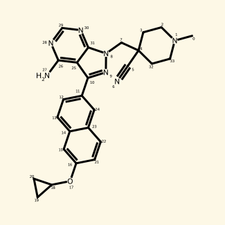 CN1CCC(C#N)(Cn2nc(-c3ccc4cc(OC5CC5)ccc4c3)c3c(N)ncnc32)CC1